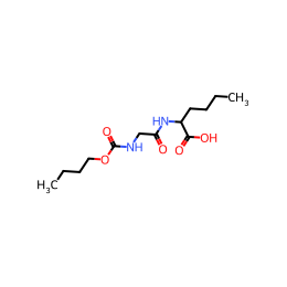 CCCCOC(=O)NCC(=O)NC(CCCC)C(=O)O